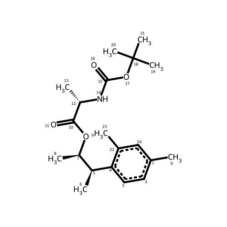 Cc1ccc([C@@H](C)[C@@H](C)OC(=O)[C@H](C)NC(=O)OC(C)(C)C)c(C)c1